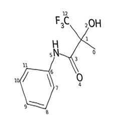 CC(O)(C(=O)Nc1ccccc1)C(F)(F)F